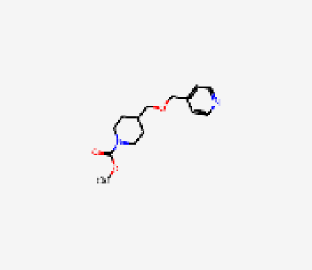 CC(C)(C)OC(=O)N1CCC(COCc2ccncc2)CC1